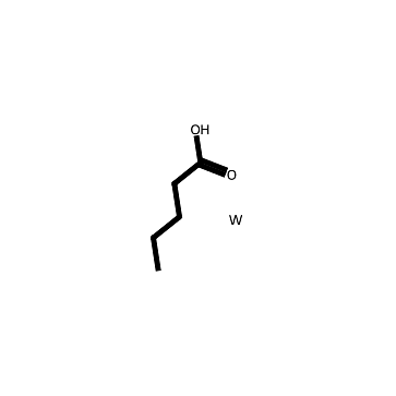 CCCCC(=O)O.[W]